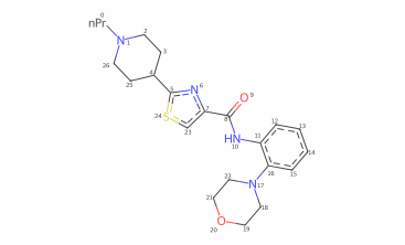 CCCN1CCC(c2nc(C(=O)Nc3ccccc3N3CCOCC3)cs2)CC1